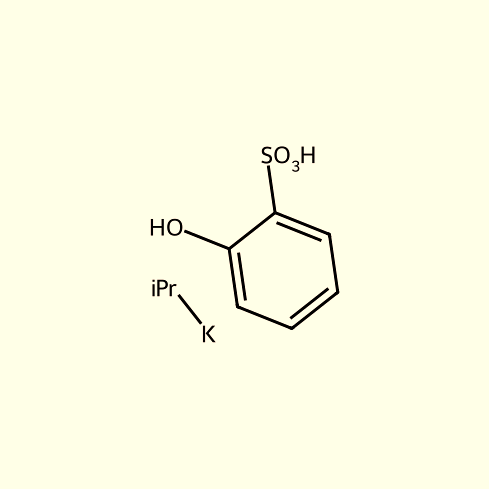 C[CH](C)[K].O=S(=O)(O)c1ccccc1O